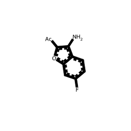 CC(=O)c1oc2cc(F)ccc2c1N